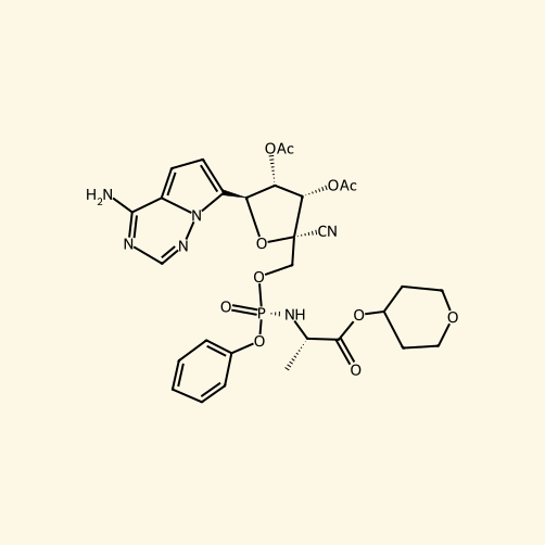 CC(=O)O[C@H]1[C@H](c2ccc3c(N)ncnn23)O[C@](C#N)(CO[P@@](=O)(N[C@@H](C)C(=O)OC2CCOCC2)Oc2ccccc2)[C@H]1OC(C)=O